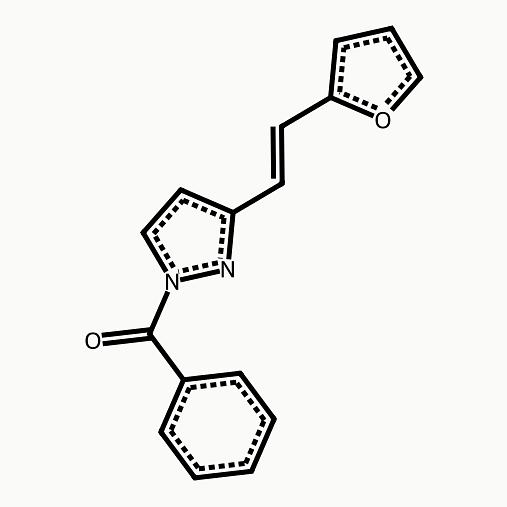 O=C(c1ccccc1)n1ccc(/C=C/c2ccco2)n1